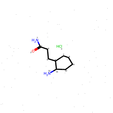 Cl.NC(=O)CCC1CCCCC1N